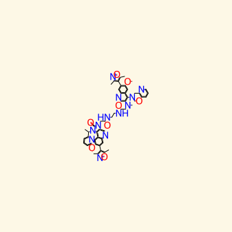 COc1cc2c(N(C=O)Cc3ccccn3)c(N(C)CC(=O)NCCNC(=O)Cn3c(=O)n(C(C)c4ccccn4)c4c5cc(OC)c(-c6c(C)noc6C)cc5ncc43)cnc2cc1-c1c(C)noc1C